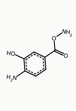 NOC(=O)c1ccc(N)c(O)c1